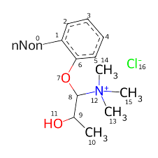 CCCCCCCCCc1ccccc1OC(C(C)O)[N+](C)(C)C.[Cl-]